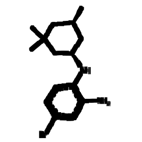 C[C@H]1C[C@@H](Nc2ccc(Br)cc2N)CC(C)(C)C1